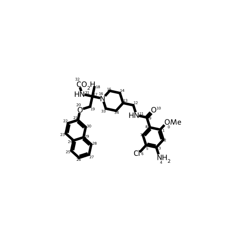 COc1cc(N)c(Cl)cc1C(=O)NCC1CCN(C(C)(COc2ccc3ccccc3c2)NC(=O)O)CC1